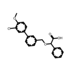 COc1ccc(-c2cccc(COC(C(=O)O)c3ccccc3)c2)cc1Cl